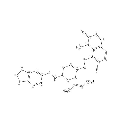 Cn1c(=O)ccc2ccc(F)c(CCN3CCC(NCc4cc5c(cn4)OCS5)CC3)c21.O=C(O)/C=C/C(=O)O